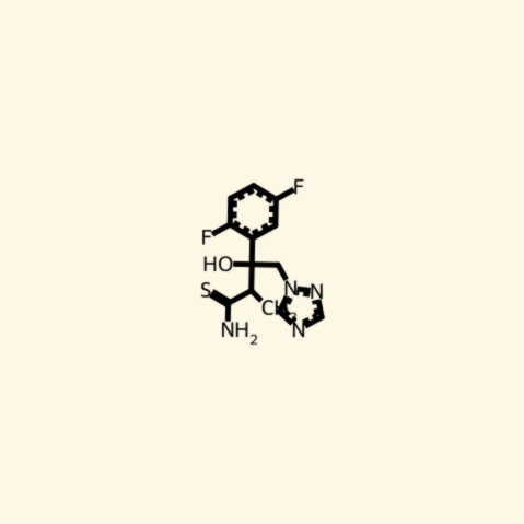 CC(C(N)=S)C(O)(Cn1cncn1)c1cc(F)ccc1F